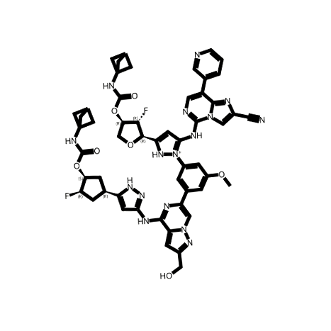 COc1cc(-c2cn3nc(CO)cc3c(Nc3cc([C@H]4C[C@@H](F)[C@@H](OC(=O)NC56CC(C5)C6)C4)[nH]n3)n2)cc(-[n+]2[nH]c([C@H]3OC[C@@H](OC(=O)NC45CC(C4)C5)[C@@H]3F)cc2Nc2ncc(-c3cccnc3)c3nc(C#N)cn23)c1